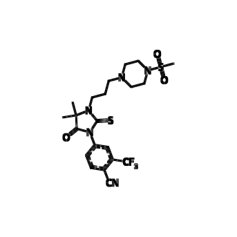 CC1(C)C(=O)N(c2ccc(C#N)c(C(F)(F)F)c2)C(=S)N1CCCN1CCN(S(C)(=O)=O)CC1